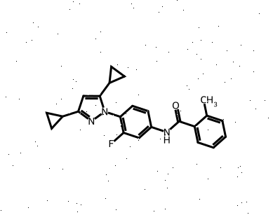 Cc1ccccc1C(=O)Nc1ccc(-n2nc(C3CC3)cc2C2CC2)c(F)c1